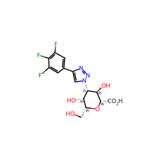 O=C(O)[C@@H]1O[C@H](CO)[C@H](O)[C@H](n2cc(-c3cc(F)c(F)c(F)c3)nn2)[C@H]1O